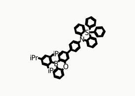 CC(C)c1cc(C(C)C)c(B2c3ccccc3Oc3cc(-c4ccc(N5c6ccccc6[Si](c6ccccc6)(c6ccccc6)c6ccccc65)cc4)ccc32)c(C(C)C)c1